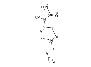 C=CCN1CCC(N(O)C(N)=O)CC1